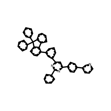 c1ccc(-c2nc(-c3ccc(-c4cccnc4)cc3)cc(-c3cccc(-c4cccc5c4-c4ccccc4C5(c4ccccc4)c4ccccc4)c3)n2)cc1